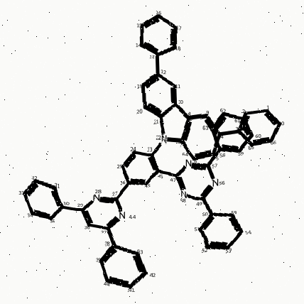 c1ccc(-c2ccc3c(c2)c2cc(-c4ccccc4)ccc2n3-c2ccc(-c3nc(-c4ccccc4)cc(-c4ccccc4)n3)cc2-c2nc(-c3ccccc3)nc(-c3ccccc3)n2)cc1